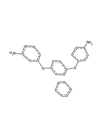 Nc1ccc(Oc2ccc(Oc3cccc(N)c3)cc2)cc1.c1ccccc1